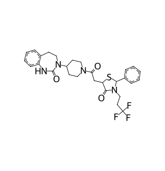 O=C(CC1SC(c2ccccc2)N(CCC(F)(F)F)C1=O)N1CCC(N2CCc3ccccc3NC2=O)CC1